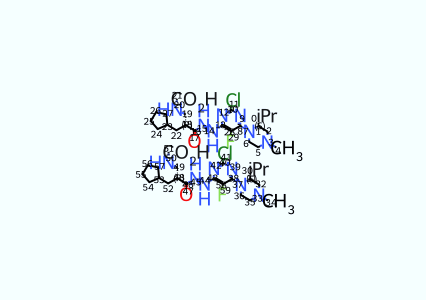 CC(C)[C@H]1CN(C)CCN1c1nc(Cl)nc(NNC(=O)[C@@H](CNC(=O)O)CC2CCCC2)c1F.CC(C)[C@H]1CN(C)CCN1c1nc(Cl)nc(NNC(=O)[C@@H](CNC(=O)O)CC2CCCC2)c1F